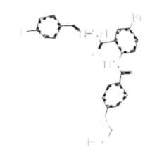 CCOc1ccc(C(=O)Nc2ccc(Br)cc2C(=O)NN=Cc2ccc(F)cc2)cc1